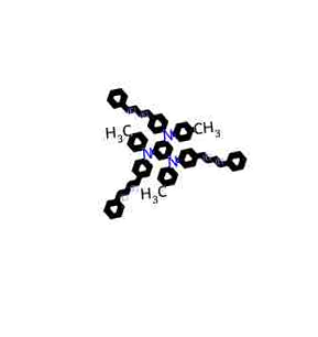 Cc1ccc(N(c2ccc(/C=C/C=C/c3ccccc3)cc2)c2cc(N(c3ccc(C)cc3)c3ccc(/C=C/C=C/c4ccccc4)cc3)cc(N(c3ccc(C)cc3)c3ccc(/C=C/C=C/c4ccccc4)cc3)c2)cc1